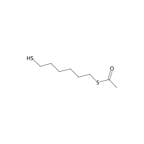 CC(=O)SCCCCCCS